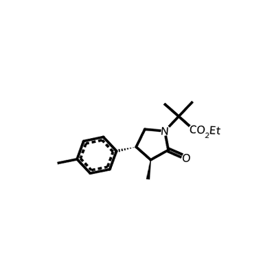 CCOC(=O)C(C)(C)N1C[C@@H](c2ccc(C)cc2)[C@H](C)C1=O